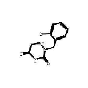 O=C1CNN(Cc2ccccc2Cl)C(=O)N1